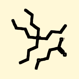 CCCC[N+](CCCC)(CCCC)CCCC.COCCC(=O)[O-]